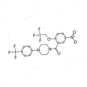 O=C(c1cc([N+](=O)[O-])ccc1OCC(F)(F)F)N1CCN(c2ccc(C(F)(F)F)cc2)CC1